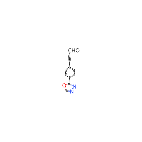 O=CC#Cc1ccc(-c2nnco2)cc1